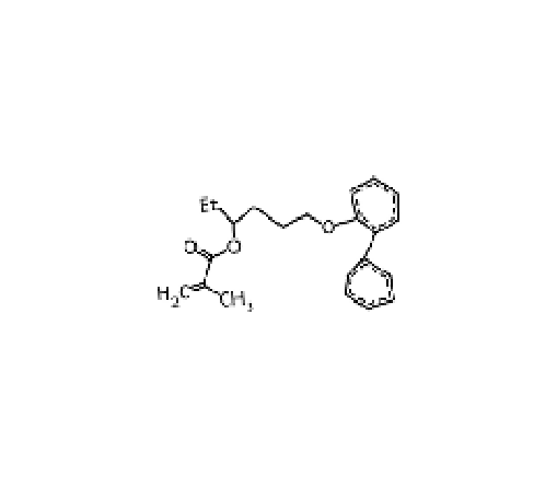 C=C(C)C(=O)OC(CC)CCCOc1ccccc1-c1ccccc1